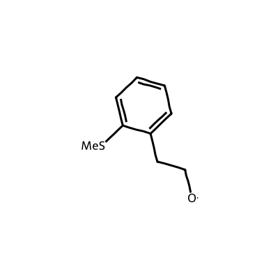 CSc1ccccc1CC[O]